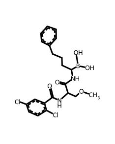 COCC(NC(=O)c1cc(Cl)ccc1Cl)C(=O)NC(CCCc1ccccc1)B(O)O